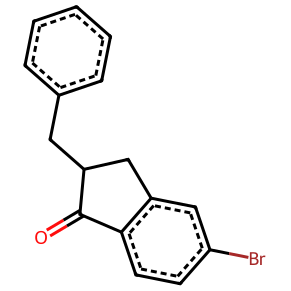 O=C1c2ccc(Br)cc2CC1Cc1ccccc1